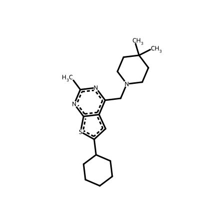 Cc1nc(CN2CCC(C)(C)CC2)c2cc(C3CCCCC3)sc2n1